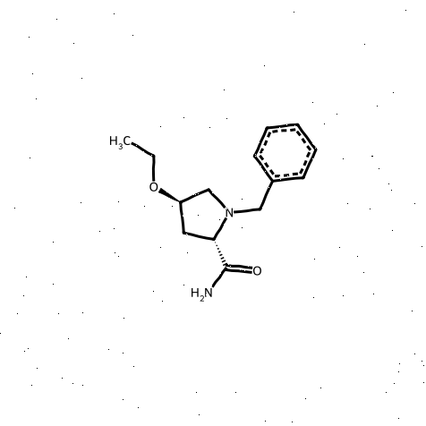 CCO[C@@H]1C[C@@H](C(N)=O)N(Cc2ccccc2)C1